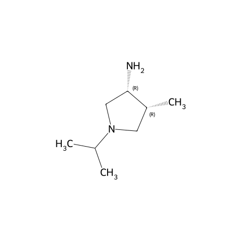 CC(C)N1C[C@@H](C)[C@@H](N)C1